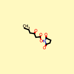 CCCCC(=O)CC(=O)ON1C(=O)CCC1=O